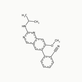 COc1cc2nc(NC(C)C)ncc2cc1-c1ccccc1C#N